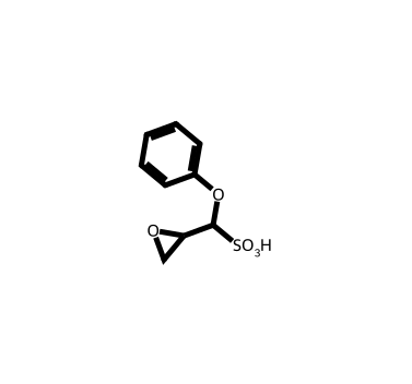 O=S(=O)(O)C(Oc1ccccc1)C1CO1